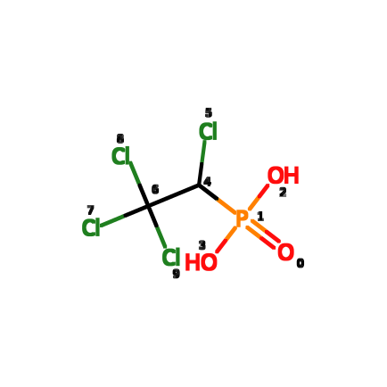 O=P(O)(O)C(Cl)C(Cl)(Cl)Cl